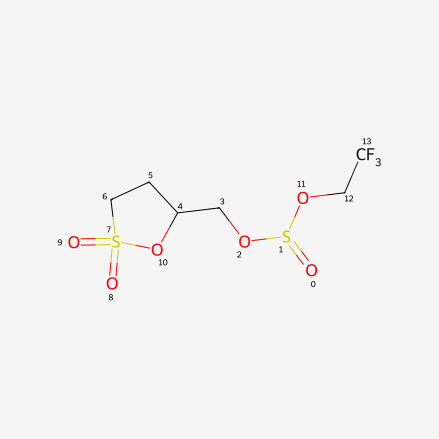 O=S(OCC1CCS(=O)(=O)O1)OCC(F)(F)F